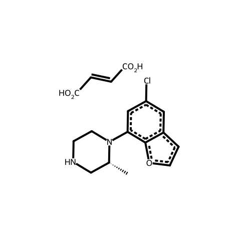 C[C@@H]1CNCCN1c1cc(Cl)cc2ccoc12.O=C(O)C=CC(=O)O